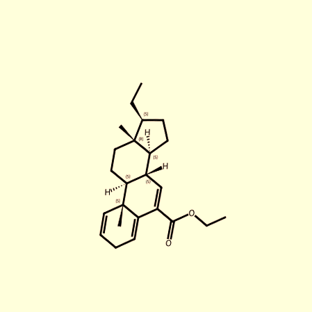 CCOC(=O)C1=C[C@H]2[C@@H]3CC[C@H](CC)[C@@]3(C)CC[C@@H]2[C@@]2(C)C=CCC=C12